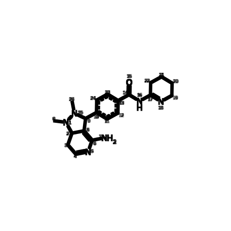 CN1C2CC=NC(N)=C2C(c2ccc(C(=O)NC3=NCCCC3)cc2)N1C